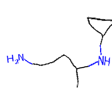 CC(CCN)NC1CC1